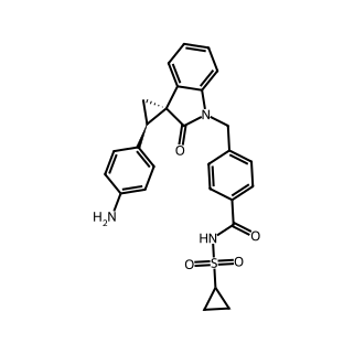 Nc1ccc([C@H]2C[C@]23C(=O)N(Cc2ccc(C(=O)NS(=O)(=O)C4CC4)cc2)c2ccccc23)cc1